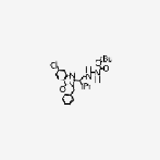 CC(C)C(CNCNC(=O)OC(C)(C)C)c1nc2cc(Cl)ccc2c(=O)n1Cc1ccccc1